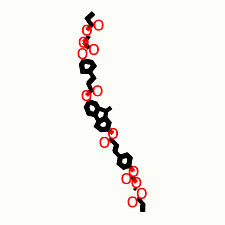 C=CC(=O)OCOC(=O)Oc1ccc(/C=C/C(=O)Oc2ccc3c(c2)C(C)c2cc(OC(=O)/C=C/c4ccc(OC(=O)OCOC(=O)C=C)cc4)ccc2-3)cc1